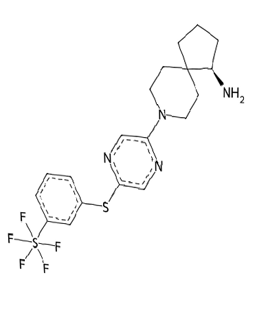 N[C@@H]1CCCC12CCN(c1cnc(Sc3cccc(S(F)(F)(F)(F)F)c3)cn1)CC2